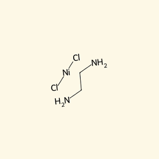 NCCN.[Cl][Ni][Cl]